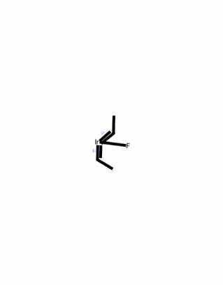 C/[CH]=[Ir](\[F])=[CH]/C